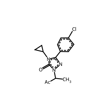 CC(=O)C(C)n1nc(-c2ccc(Cl)cc2)n(C2CC2)c1=O